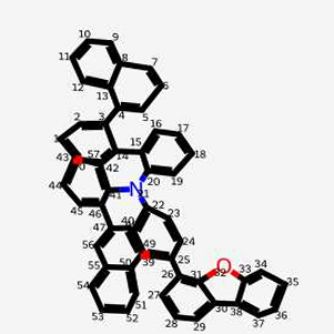 c1ccc(-c2cccc3ccccc23)c(-c2ccccc2N(c2ccc(-c3cccc4c3oc3ccccc34)cc2)c2ccccc2-c2ccc3ccccc3c2)c1